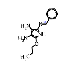 CCCOc1[nH]c(/N=C/c2ccccc2)c(N)c1N